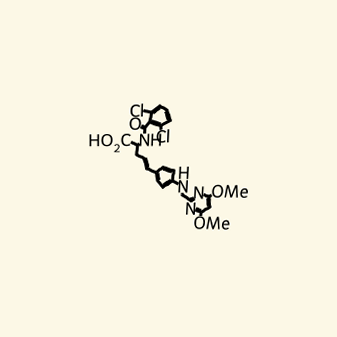 COc1cc(OC)nc(CNc2ccc(/C=C/CC(NC(=O)c3c(Cl)cccc3Cl)C(=O)O)cc2)n1